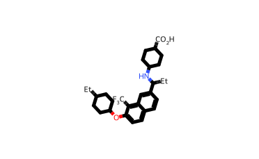 CCC1CCC(Oc2ccc3ccc(C(CC)NC4CCC(C(=O)O)CC4)cc3c2C(F)(F)F)CC1